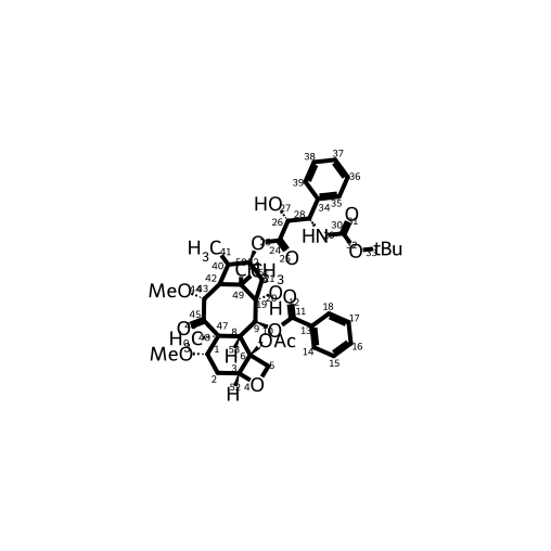 CO[C@H]1C[C@H]2OC[C@@]2(OC(C)=O)[C@H]2[C@H](OC(=O)c3ccccc3)[C@]3(O)C[C@H](OC(=O)[C@H](O)[C@@H](NC(=O)OC(C)(C)C)c4ccccc4)C(C)C([C@@H](OC)C(=O)[C@]12C)C3(C)C